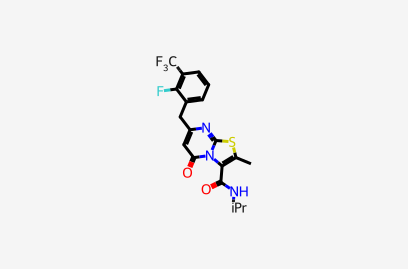 Cc1sc2nc(Cc3cccc(C(F)(F)F)c3F)cc(=O)n2c1C(=O)NC(C)C